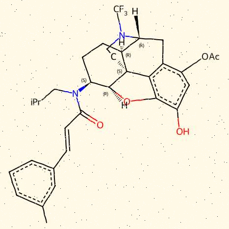 CC(=O)Oc1cc(O)c2c3c1C[C@@H]1[C@@H]4CC[C@H](N(CC(C)C)C(=O)C=Cc5cccc(C)c5)[C@H](O2)[C@]34CCN1C(F)(F)F